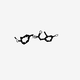 COc1ccc(CNC(=O)Cc2ccc(Cl)cc2C)cc1